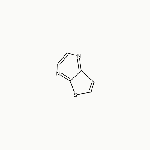 [c]1cnc2ccsc2n1